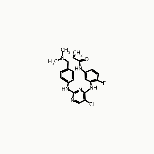 C=CC(=O)Nc1ccc(F)c(Nc2nc(Nc3ccc(CN(C)C)cc3)ncc2Cl)c1